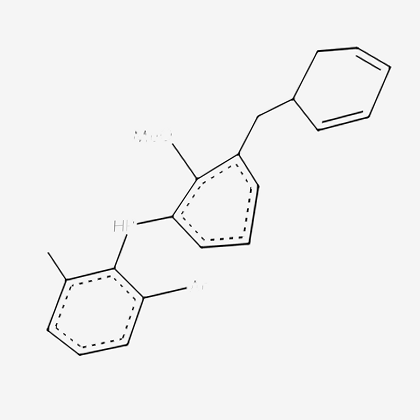 COc1c(CC2C=CC=CC2)cccc1Pc1c(C)cccc1C(C)=O